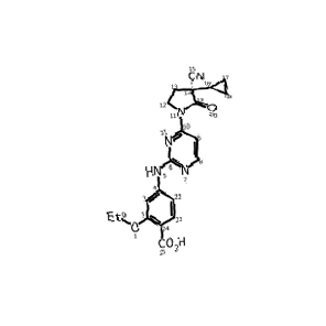 CCOc1cc(Nc2nccc(N3CC[C@@](C#N)(C4CC4)C3=O)n2)ccc1C(=O)O